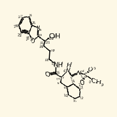 CS(=O)(=O)N=CN[C@@H](CC1CCCCC1)C(=O)NCCC[C@H](O)c1nc2ccccc2o1